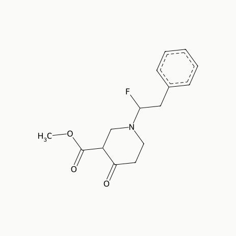 COC(=O)C1CN(C(F)Cc2ccccc2)CCC1=O